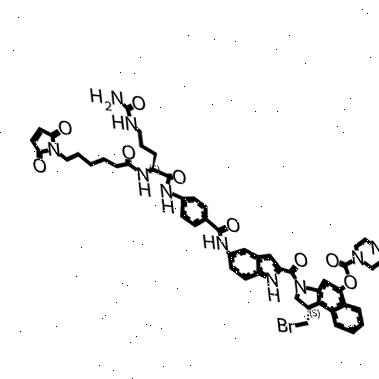 CN1CCN(C(=O)Oc2cc3c(c4ccccc24)[C@H](CBr)CN3C(=O)c2cc3cc(NC(=O)c4ccc(NC(=O)[C@H](CCCNC(N)=O)NC(=O)CCCCCN5C(=O)C=CC5=O)cc4)ccc3[nH]2)CC1